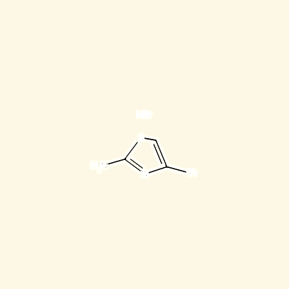 Br.CC(C)c1csc(N)n1